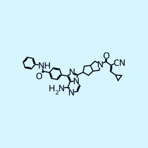 N#CC(=CC1CC1)C(=O)N1CC2CC(c3nc(-c4ccc(C(=O)Nc5ccccc5)cc4)c4c(N)nccn34)CC2C1